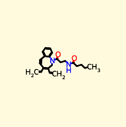 C=C/C1=C(\C=C)CN(C(=O)CCNC(=O)CCCC)c2ccccc2C#C1